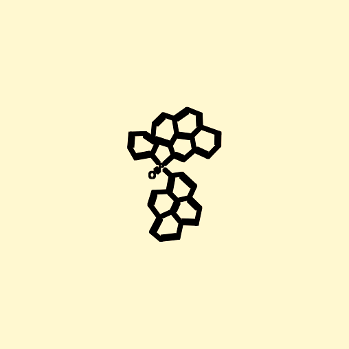 O=P(c1ccccc1)(c1ccc2ccc3cccc4ccc1c2c34)c1cc2cccc3ccc4cccc1c4c32